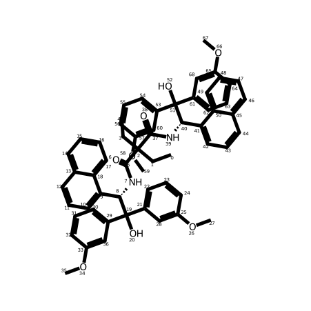 CCC(CC)(C(=O)N[C@@H](c1cccc2ccccc12)C(O)(c1cccc(OC)c1)c1cccc(OC)c1)C(=O)N[C@@H](c1cccc2ccccc12)C(O)(c1cccc(OC)c1)c1cccc(OC)c1